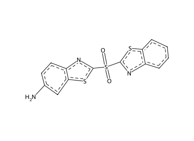 Nc1ccc2nc(S(=O)(=O)c3nc4ccccc4s3)sc2c1